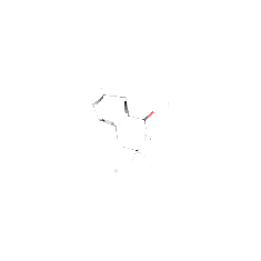 CCCCC1(C)NC(=O)c2ccccc2S1